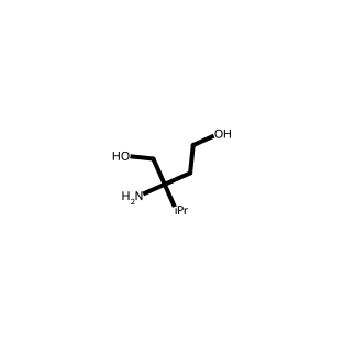 CC(C)C(N)(CO)CCO